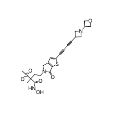 CC(CCN1Cc2cc(C#CC#CC3CN(C4COC4)C3)sc2C1=O)(C(=O)NO)S(C)(=O)=O